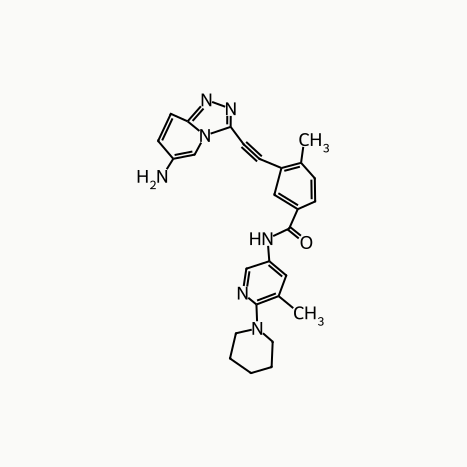 Cc1ccc(C(=O)Nc2cnc(N3CCCCC3)c(C)c2)cc1C#Cc1nnc2ccc(N)cn12